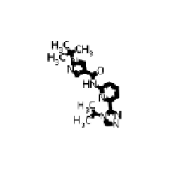 CC(C)n1cnnc1-c1cccc(NC(=O)c2cnn(C(C)(C)C)c2)n1